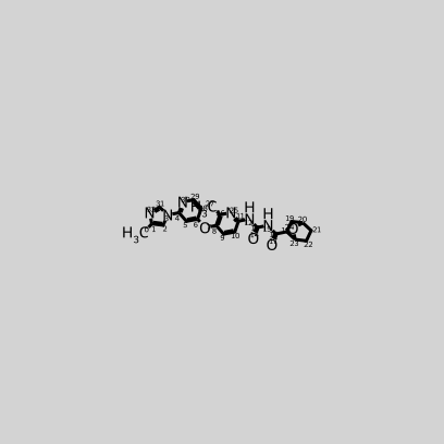 Cc1cn(-c2cc(Oc3ccc(NC(=O)NC(=O)C4CC5CCC4O5)nc3C)ccn2)cn1